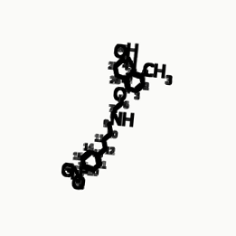 Cc1ccc(OCCNCCCCc2ccc([N+](=O)[O-])cc2)c2c1NC(=O)CC2